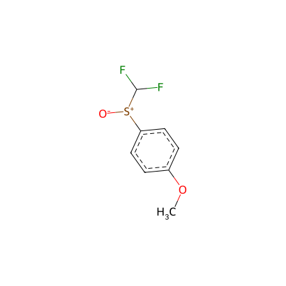 COc1ccc([S+]([O-])C(F)F)cc1